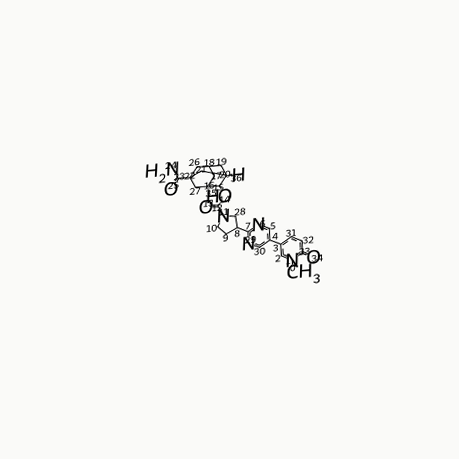 Cn1cc(-c2cnc(C3CCN(C(=O)OC4[C@@H]5CC6C[C@H]4CC(C(N)=O)(C6)C5)C3)nc2)ccc1=O